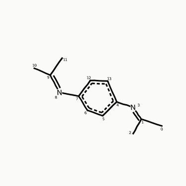 CC(C)=Nc1ccc(N=C(C)C)cc1